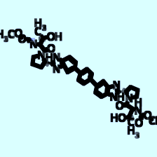 COO/C=N/C(C(=O)N1CCC[C@H]1c1nc2cc(-c3ccc(-c4ccc5[nH]c([C@@H]6CCCN6C(=O)C(NC(=O)OC)[C@@H](C)O)nc5c4)cc3)ccc2[nH]1)[C@@H](C)O